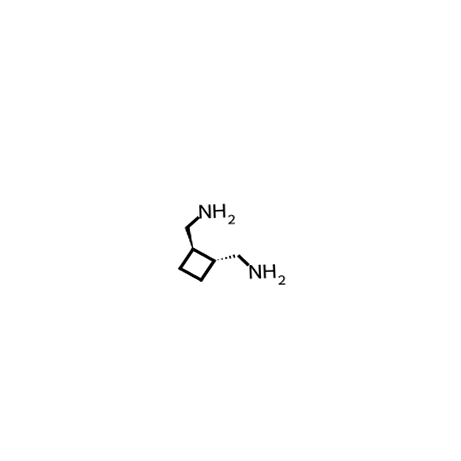 NC[C@@H]1CC[C@H]1CN